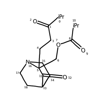 CC(C)C(=O)CCC1(COC(=O)C(C)C)C(=O)C2CCN1CC2